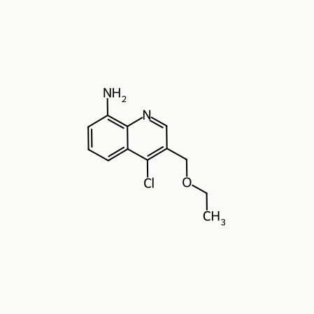 CCOCc1cnc2c(N)cccc2c1Cl